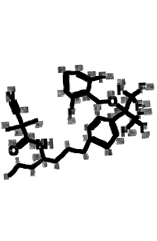 CCC[C@H](CCCc1ccc(C(OCc2c(F)cccc2F)(C(F)(F)F)C(F)(F)F)cc1)NC(=O)C(C)(C)C#N